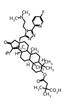 CC(C)C1=C2[C@H]3CC[C@@H]4[C@@]5(C)CC[C@H](OC(=O)CC(C)(C)C(=O)O)C(C)(C)[C@@H]5CC[C@@]4(C)[C@]3(C)CC[C@@]2(Cc2nnc(-c3ccc(F)cn3)n2CCN(C)C)CC1=O